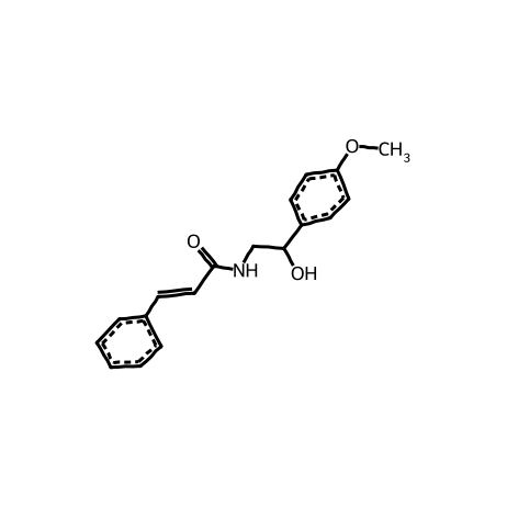 COc1ccc(C(O)CNC(=O)C=Cc2ccccc2)cc1